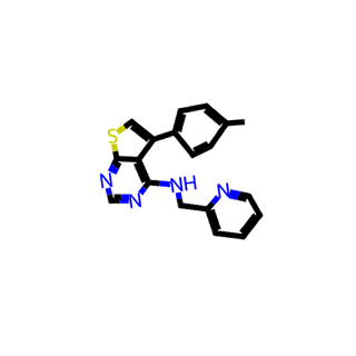 Cc1ccc(-c2csc3ncnc(NCc4ccccn4)c23)cc1